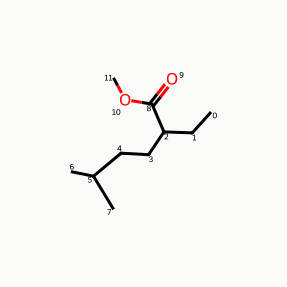 CCC(CCC(C)C)C(=O)OC